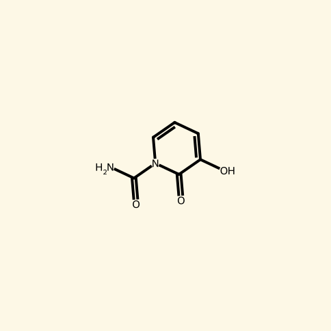 NC(=O)n1cccc(O)c1=O